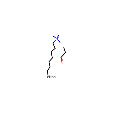 CCC=O.CCCCCCCCCCCCCCCC[N+](C)(C)C